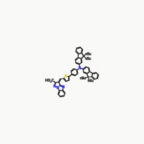 CCCCC1(CCCC)c2ccccc2-c2ccc(N(c3ccc(-c4ccc(/C=c5/c(C(=O)O)nn6c5nc5ccccc56)s4)cc3)c3ccc4c(c3)C(CCCC)(CCCC)c3ccccc3-4)cc21